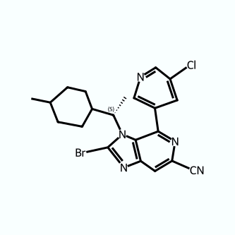 CC1CCC([C@H](C)n2c(Br)nc3cc(C#N)nc(-c4cncc(Cl)c4)c32)CC1